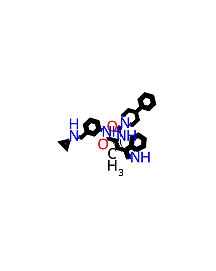 C[C@@H](c1c[nH]c2ccccc12)[C@@H](NC(=O)N1CCC(c2ccccc2)CC1)C(=O)Nc1cccc(CNC2CC2)c1